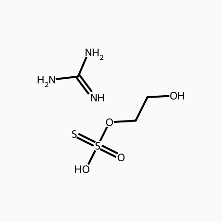 N=C(N)N.O=S(O)(=S)OCCO